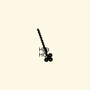 CCCCCCCCCCCCCCCCCNC(=O)OC[C@H](O)COC(c1ccccc1)(c1ccccc1)c1ccccc1